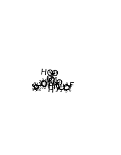 CC(C)(Cc1ccc(F)cc1)NC(=O)[C@H](CCC(=O)O)NC(=O)c1ccc(-c2ccsc2)cc1